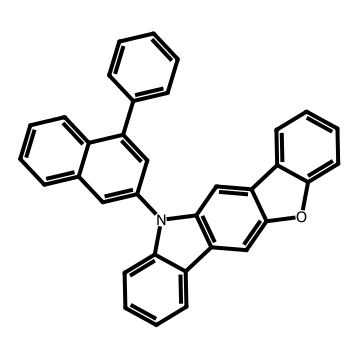 c1ccc(-c2cc(-n3c4ccccc4c4cc5oc6ccccc6c5cc43)cc3ccccc23)cc1